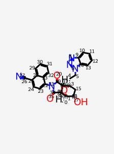 C[C@]12O[C@](CCn3nnc4ccccc43)(C[C@@H]1O)[C@H]1C(=O)N(c3ccc(C#N)c4ccccc34)C(=O)[C@H]12